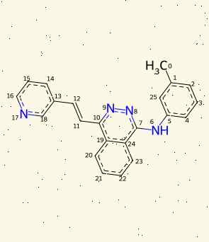 Cc1cccc(Nc2nnc(/C=C/c3cccnc3)c3ccccc23)c1